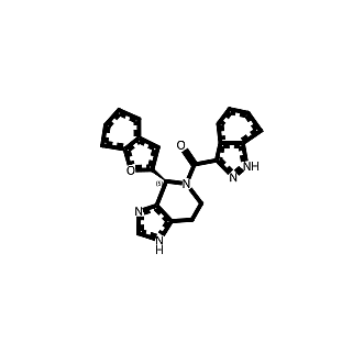 O=C(c1n[nH]c2ccccc12)N1CCc2[nH]cnc2[C@H]1c1cc2ccccc2o1